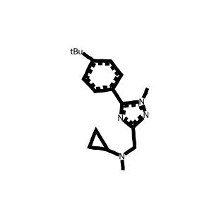 CN(Cc1nc(-c2ccc(C(C)(C)C)cc2)n(C)n1)C1CC1